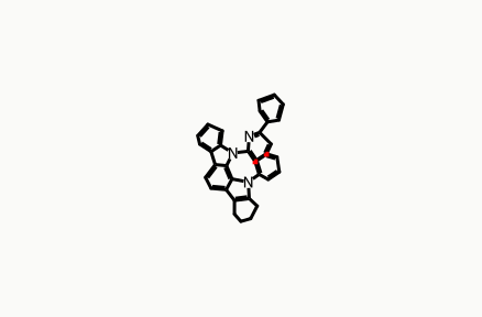 c1ccc(-c2cccc(-n3c4ccccc4c4ccc5c6c(n(-c7ccccc7)c5c43)CCCC6)n2)cc1